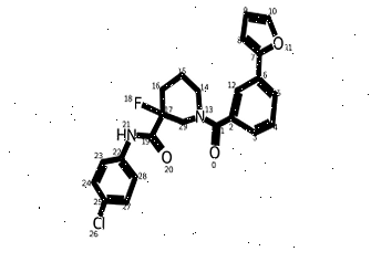 O=C(c1cccc(-c2ccco2)c1)N1CCCC(F)(C(=O)Nc2ccc(Cl)cc2)C1